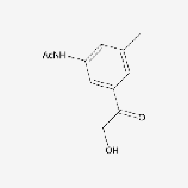 CC(=O)Nc1cc(C)cc(C(=O)CO)c1